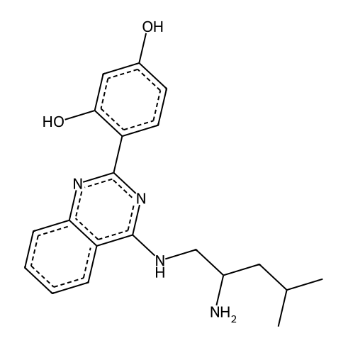 CC(C)CC(N)CNc1nc(-c2ccc(O)cc2O)nc2ccccc12